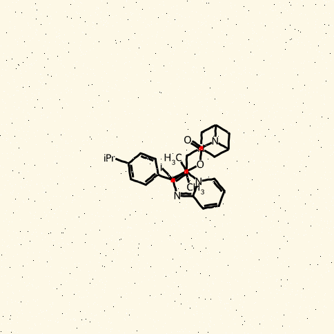 CC(C)c1ccc(-c2nc3ccccn3c2CN2CC3CC(C2)N3C(=O)OC(C)(C)CI)cc1